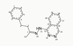 C/C(CCc1ccccc1)=N/Nc1nncc2ccccc12